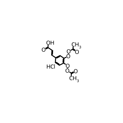 CC(=O)OOc1ccc(C=CC(=O)O)cc1OOC(C)=O.Cl